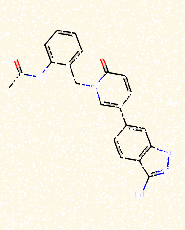 CC(=O)Nc1ccccc1Cn1cc(-c2ccc3c(N)n[nH]c3c2)ccc1=O